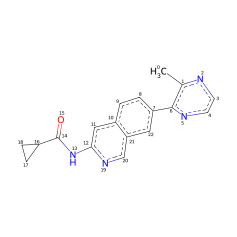 Cc1nccnc1-c1ccc2cc(NC(=O)C3CC3)ncc2c1